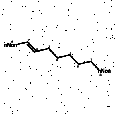 CCCCCCCCCC=CCCCCCCCCCCCCCC